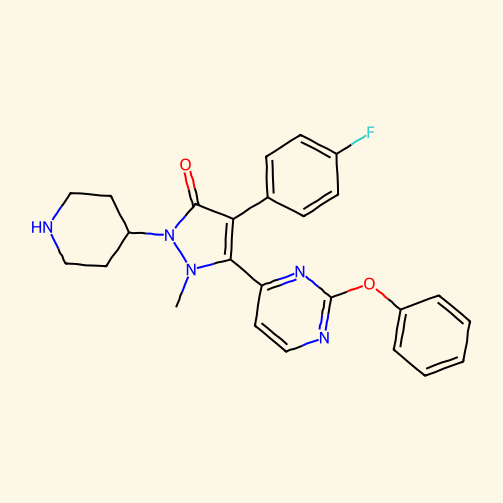 Cn1c(-c2ccnc(Oc3ccccc3)n2)c(-c2ccc(F)cc2)c(=O)n1C1CCNCC1